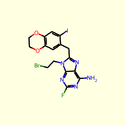 Nc1nc(F)nc2c1nc(Cc1cc3c(cc1I)OCCO3)n2CCBr